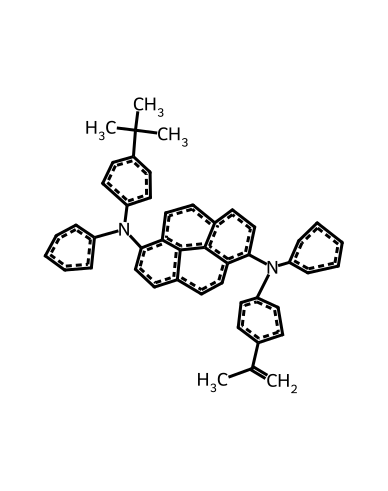 C=C(C)c1ccc(N(c2ccccc2)c2ccc3ccc4c(N(c5ccccc5)c5ccc(C(C)(C)C)cc5)ccc5ccc2c3c54)cc1